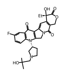 CC[C@@]1(O)C(=O)OCc2c1cc1n(c2=O)Cc2c-1c(=O)c1cc(F)ccc1n2[C@@H]1CCN(CC(C)(C)O)C1